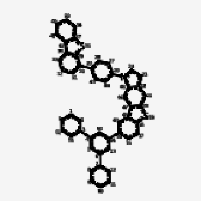 c1ccc(-c2cc(-c3ccccc3)cc(-c3ccc4sc5cc6ccn(-c7ccc(-c8cccc9c8sc8ccccc89)cc7)c6cc5c4c3)c2)cc1